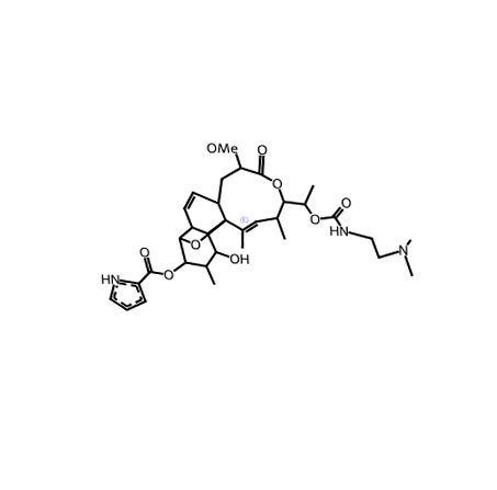 COC1CC2C=CC3C4OC2(/C(C)=C/C(C)C(C(C)OC(=O)NCCN(C)C)OC1=O)C3C(O)C(C)C4OC(=O)c1ccc[nH]1